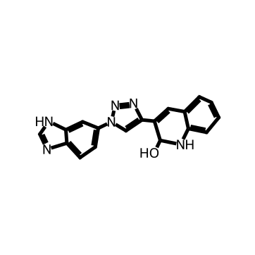 OC1Nc2ccccc2C=C1c1cn(-c2ccc3nc[nH]c3c2)nn1